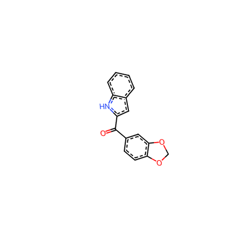 O=C(c1ccc2c(c1)OCO2)c1cc2ccccc2[nH]1